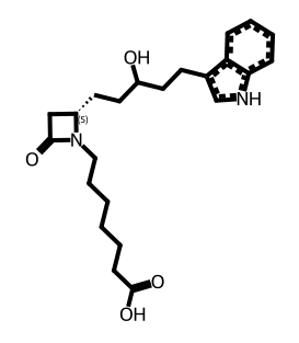 O=C(O)CCCCCCN1C(=O)C[C@@H]1CCC(O)CCc1c[nH]c2ccccc12